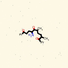 CC(C)C(=O)CCC(N)C(=O)C(C)CCC(C)C(=O)C(C)C